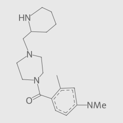 CNc1ccc(C(=O)N2CCN(CC3CCCCN3)CC2)c(C)c1